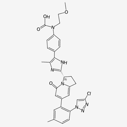 COCCN(C(=O)O)c1ccc(-c2[nH]c([C@@H]3CCc4cc(-c5cc(C)ccc5-n5cc(Cl)nn5)cc(=O)n43)nc2C)cc1